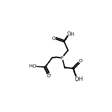 O=C(O)CP(CC(=O)O)CC(=O)O